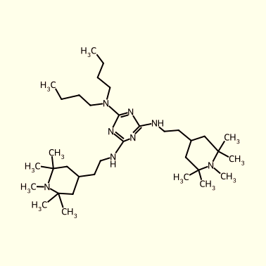 CCCCN(CCCC)c1nc(NCCC2CC(C)(C)N(C)C(C)(C)C2)nc(NCCC2CC(C)(C)N(C)C(C)(C)C2)n1